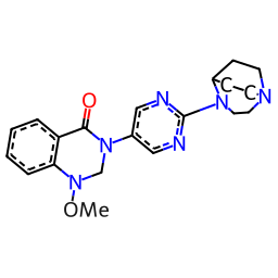 CON1CN(c2cnc(N3CCN4CCC3CC4)nc2)C(=O)c2ccccc21